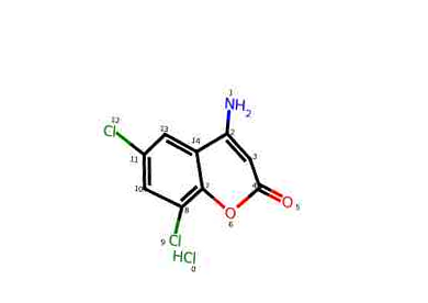 Cl.Nc1cc(=O)oc2c(Cl)cc(Cl)cc12